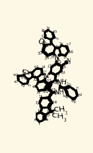 CC1(C)C2=CC=CCC2C2CCC(C3C=CC(C4CC(C#N)C(N5C6CCCCC6C6C7C(CCC65)OC5CCC=CC57)CC4N4C5=C(CCCC5)C5C6C(CCC54)OC4CCCCC46)NC(C4=CCCCC4)N3)C=C21